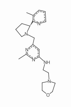 Cc1nc(CN2CCC[C@H]2c2ncccc2C)cc(NCCN2CCOCC2)n1